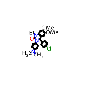 CCN1C(=O)N(c2ccc(N(C)C)cc2)C(c2ccc(Cl)cc2)c2cc(OC)c(OC)cc21